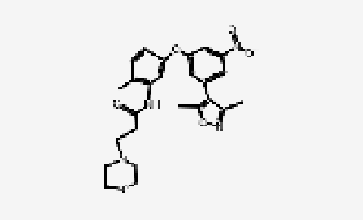 Cc1ccc(Oc2cc(-c3c(C)noc3C)cc([N+](=O)[O-])c2)cc1NC(=O)CCN1CCOCC1